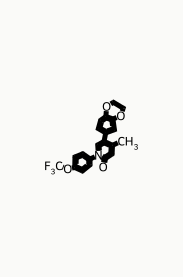 Cc1cc(=O)n(-c2ccc(OC(F)(F)F)cc2)cc1-c1ccc2c(c1)OCCO2